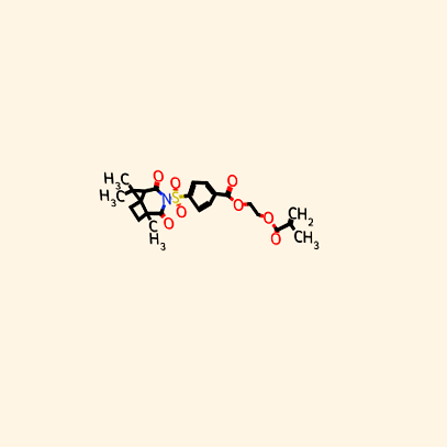 C=C(C)C(=O)OCCOC(=O)c1ccc(S(=O)(=O)N2C(=O)C3C(C)(C)C34CCC4(C)C2=O)cc1